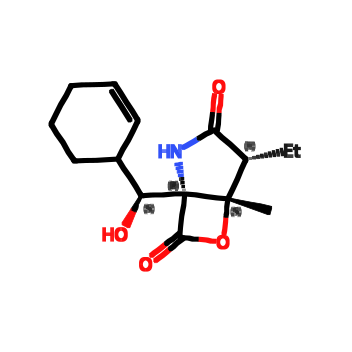 CC[C@H]1C(=O)N[C@@]2([C@@H](O)C3C=CCCC3)C(=O)O[C@@]12C